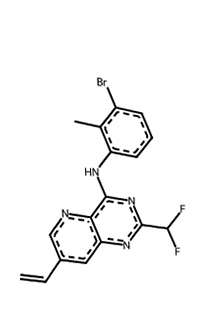 C=Cc1cnc2c(Nc3cccc(Br)c3C)nc(C(F)F)nc2c1